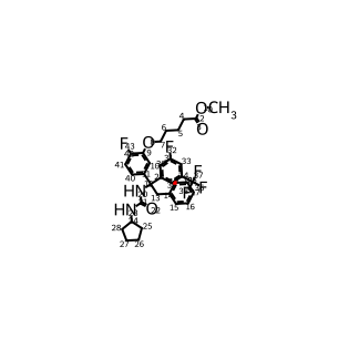 COC(=O)CCCCOc1cc(C(Cc2ccccc2)(NC(=O)NC2CCCC2)c2cc(F)cc(C(F)(F)F)c2)ccc1F